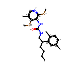 CCCCC(CNC(=O)Nc1c(SC)ncc(C)c1SC)c1cc(C)ccc1C